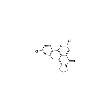 O=c1c2nc(Cl)nc(-c3ccc(Cl)cc3F)c2nc2n1CCC2